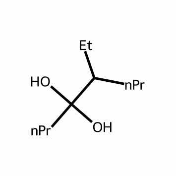 CCCC(CC)C(O)(O)CCC